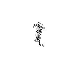 CC(C)C[C@H](N)C(=O)N[C@@H](CO)C(=O)N1CCC[C@H]1C(=O)NCC(=O)N[C@@H](CCCCN)C(=O)O